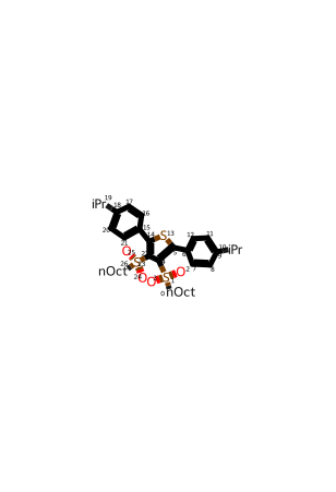 CCCCCCCCS(=O)(=O)c1c(-c2ccc(C(C)C)cc2)sc(-c2ccc(C(C)C)cc2)c1S(=O)(=O)CCCCCCCC